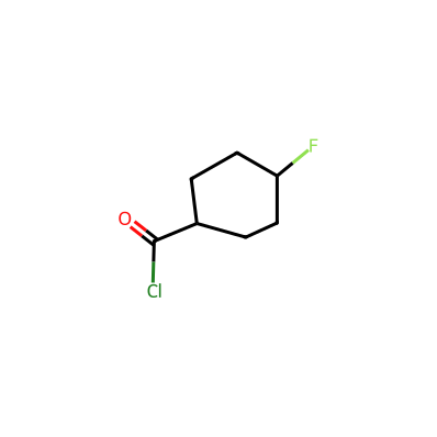 O=C(Cl)C1CCC(F)CC1